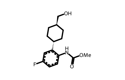 COC(=O)Nc1ccc(F)cc1[C@H]1CC[C@H](CO)CC1